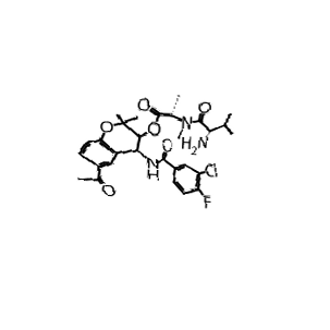 CC(=O)c1ccc2c(c1)[C@H](NC(=O)c1ccc(F)c(Cl)c1)[C@H](OC(=O)[C@H](C)N(C)C(=O)[C@@H](N)C(C)C)C(C)(C)O2